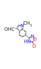 Cn1cc(C=O)c2ccc(-c3noc(=O)[nH]3)cc21